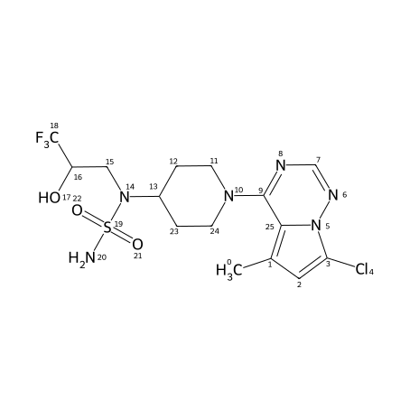 Cc1cc(Cl)n2ncnc(N3CCC(N(CC(O)C(F)(F)F)S(N)(=O)=O)CC3)c12